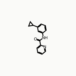 O=C(Nc1cccc(C2CC2)c1)c1ccccn1